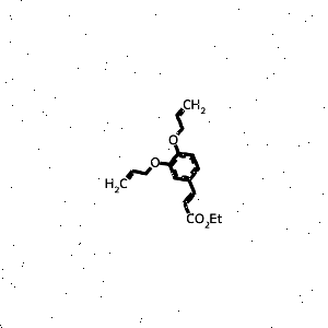 C=CCOc1ccc(/C=C/C(=O)OCC)cc1OCC=C